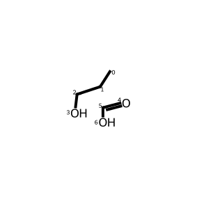 CC[CH]O.O=[C]O